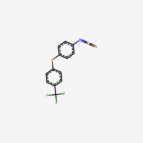 FC(F)(F)c1ccc(Sc2ccc(N=C=S)cc2)cc1